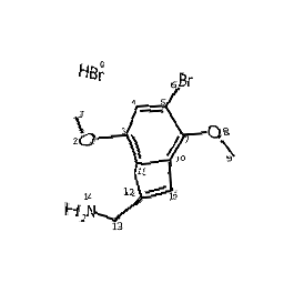 Br.COc1cc(Br)c(OC)c2c1C(CN)=C2